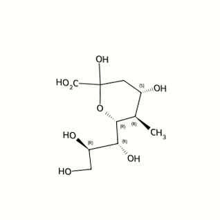 C[C@H]1[C@H]([C@H](O)[C@H](O)CO)OC(O)(C(=O)O)C[C@@H]1O